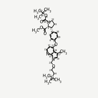 COC(=O)[C@@H]1[C@@H](c2ccc(Oc3ccnc4c3c(C)cn4COCC[Si](C)(C)C)cc2)CCN1C(=O)OC(C)(C)C